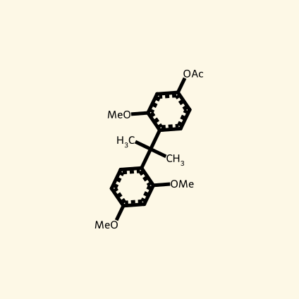 COc1ccc(C(C)(C)c2ccc(OC(C)=O)cc2OC)c(OC)c1